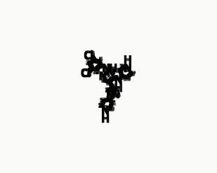 Clc1cc(Cl)cc(Nc2ncc(-c3cnn(C4CCNCC4)c3)c(NC3CCNCC3)n2)c1